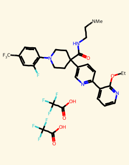 CCOc1ncccc1-c1ccc(C2(C(=O)NCCNC)CCN(c3ccc(C(F)(F)F)cc3F)CC2)cn1.O=C(O)C(F)(F)F.O=C(O)C(F)(F)F